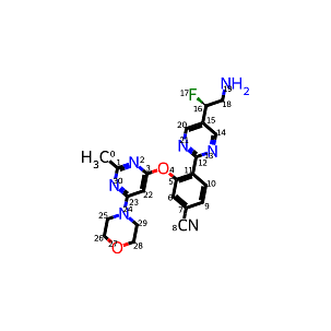 Cc1nc(Oc2cc(C#N)ccc2-c2ncc([C@@H](F)CN)cn2)cc(N2CCOCC2)n1